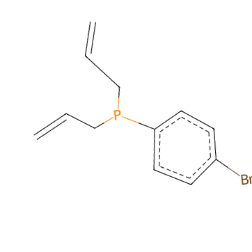 C=CCP(CC=C)c1ccc(Br)cc1